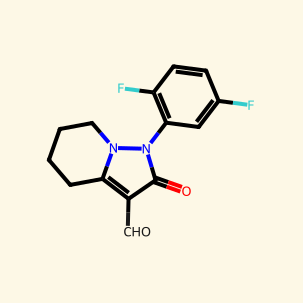 O=Cc1c2n(n(-c3cc(F)ccc3F)c1=O)CCCC2